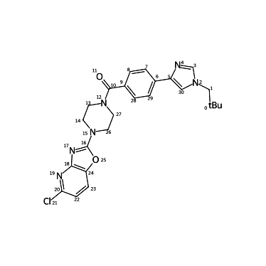 CC(C)(C)Cn1cnc(-c2ccc(C(=O)N3CCN(c4nc5nc(Cl)ccc5o4)CC3)cc2)c1